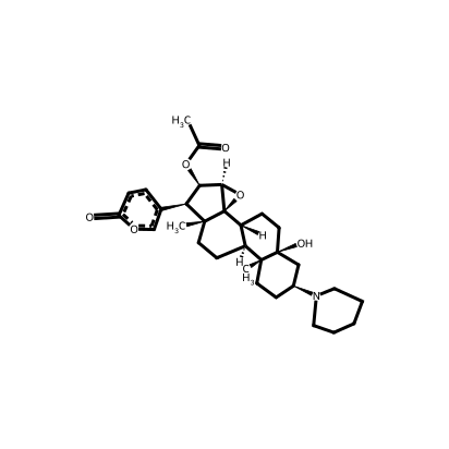 CC(=O)O[C@H]1[C@H]2O[C@]23[C@@H]2CC[C@]4(O)C[C@@H](N5CCCCC5)CC[C@]4(C)[C@H]2CC[C@]3(C)[C@H]1c1ccc(=O)oc1